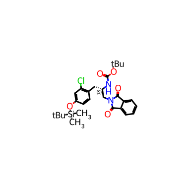 CC(C)(C)OC(=O)N[C@@H](Cc1ccc(O[Si](C)(C)C(C)(C)C)cc1Cl)CN1C(=O)c2ccccc2C1=O